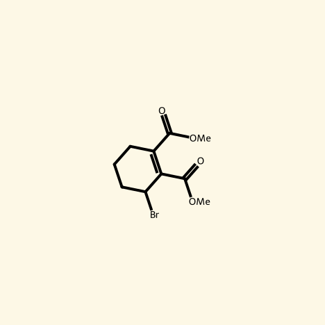 COC(=O)C1=C(C(=O)OC)C(Br)CCC1